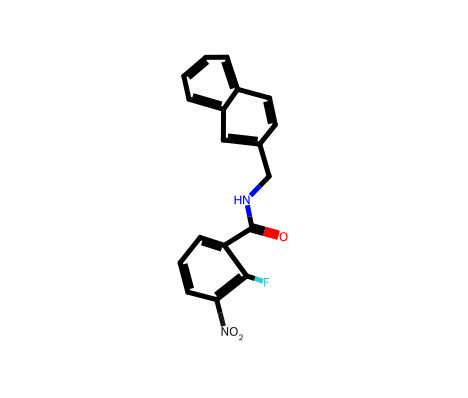 O=C(NCc1ccc2ccccc2c1)c1cccc([N+](=O)[O-])c1F